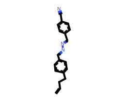 C=CCCc1ccc(/C=N/N=C/c2ccc(C#N)cc2)cc1